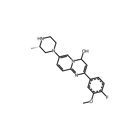 COc1cc(C2=CC(O)N3C=C(N4CCN[C@@H](C)C4)C=CC3=N2)ccc1F